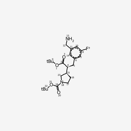 CC(C)(C)OC(=O)[C@@H](Cc1cc(F)cc(CN)c1)[C@H]1CCN(C(=O)OC(C)(C)C)C1